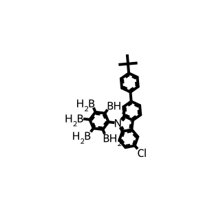 Bc1c(B)c(B)c(-n2c3ccc(Cl)cc3c3ccc(-c4ccc(C(C)(C)C)cc4)cc32)c(B)c1B